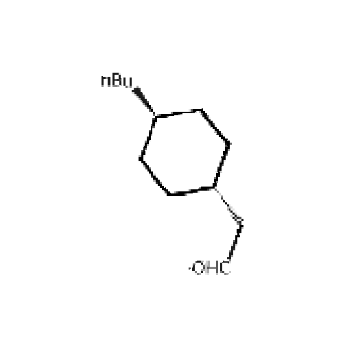 CCCC[C@H]1CC[C@H](C[C]=O)CC1